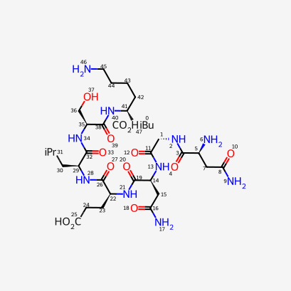 CC[C@H](C)[C@H](NC(=O)[C@@H](N)CC(N)=O)C(=O)N[C@@H](CC(N)=O)C(=O)N[C@@H](CCC(=O)O)C(=O)N[C@@H](CC(C)C)C(=O)N[C@@H](CO)C(=O)N[C@@H](CCCCN)C(=O)O